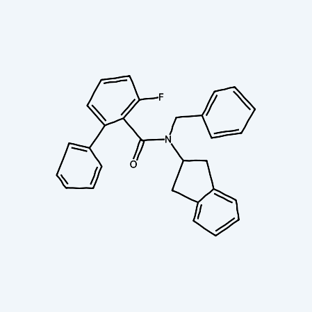 O=C(c1c(F)cccc1-c1ccccc1)N(Cc1ccccc1)C1Cc2ccccc2C1